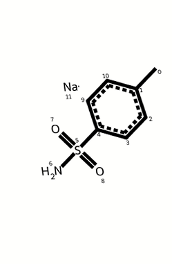 Cc1ccc(S(N)(=O)=O)cc1.[Na]